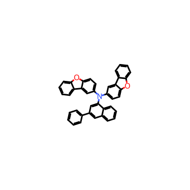 c1ccc(-c2cc(N(c3ccc4oc5ccccc5c4c3)c3ccc4oc5ccccc5c4c3)c3ccccc3c2)cc1